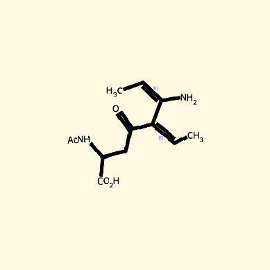 C/C=C(N)\C(=C/C)C(=O)CC(NC(C)=O)C(=O)O